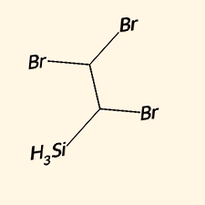 [SiH3]C(Br)C(Br)Br